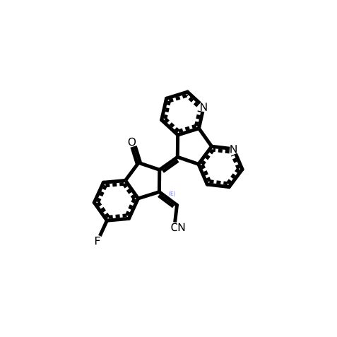 N#C/C=C1/C(=C2c3cccnc3-c3ncccc32)C(=O)c2ccc(F)cc21